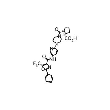 O=C(Nc1ccc(N2CCN(C(=O)[C@H]3CCC[C@@H]3C(=O)O)CC2)nc1)c1nc(-c2ccccc2)oc1C(F)(F)F